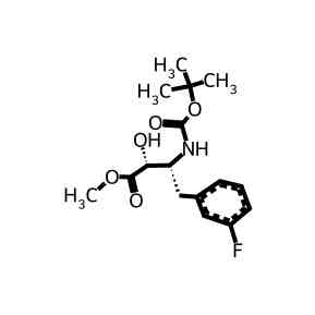 COC(=O)[C@H](O)[C@@H](Cc1cccc(F)c1)NC(=O)OC(C)(C)C